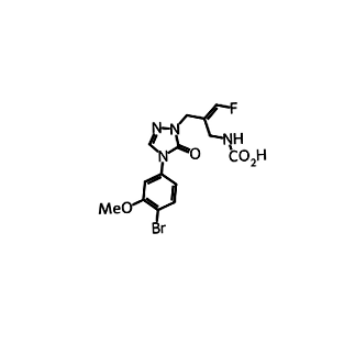 COc1cc(-n2cnn(CC(=CF)CNC(=O)O)c2=O)ccc1Br